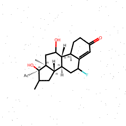 CC(=O)[C@@]1(O)C(C)C[C@H]2[C@@H]3CC(F)C4=CC(=O)CC[C@]4(C)[C@H]3C(O)C[C@@]21C